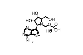 Nc1ncnc2c([C@H]3[C@H](O)[C@H](O)[C@@H](CO)N3COP(=O)(O)O)c[nH]c12